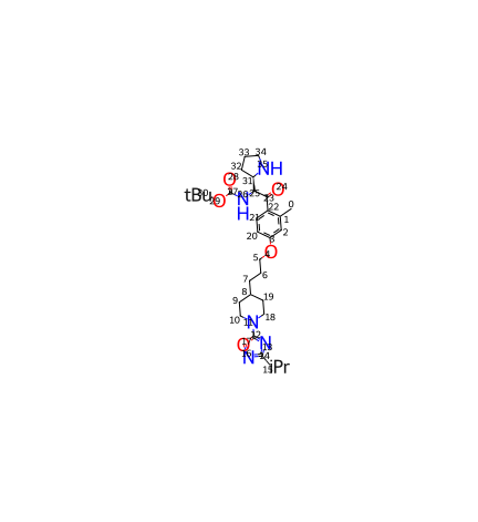 Cc1cc(OCCCC2CCN(c3nc(C(C)C)no3)CC2)ccc1C(=O)C(NC(=O)OC(C)(C)C)[C@H]1CCCN1